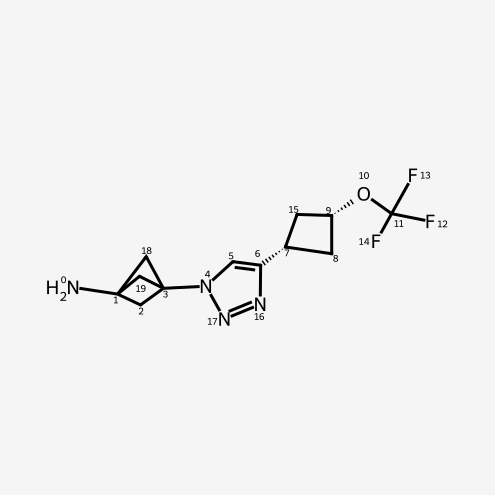 NC12CC(n3cc([C@H]4C[C@@H](OC(F)(F)F)C4)nn3)(C1)C2